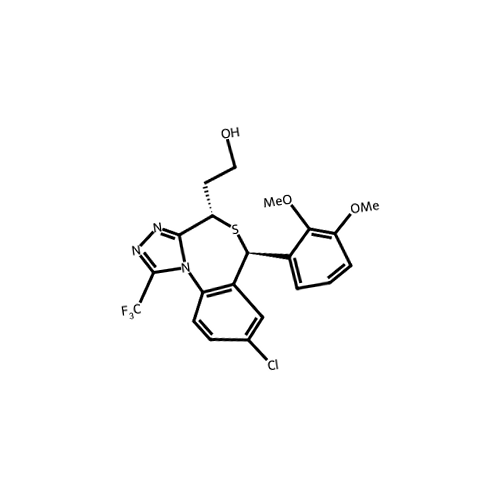 COc1cccc([C@@H]2S[C@@H](CCO)c3nnc(C(F)(F)F)n3-c3ccc(Cl)cc32)c1OC